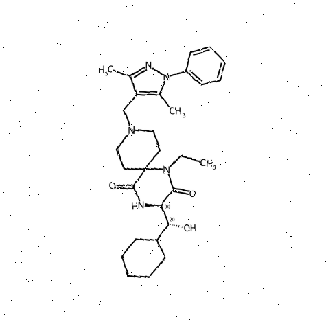 CCN1C(=O)[C@@H]([C@H](O)C2CCCCC2)NC(=O)C12CCN(Cc1c(C)nn(-c3ccccc3)c1C)CC2